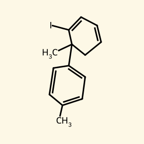 Cc1ccc(C2(C)CC=CC=C2I)cc1